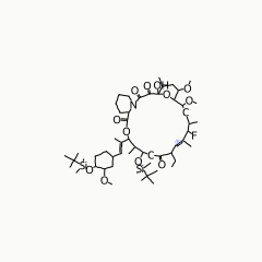 CCC1/C=C(\C)C(F)C(C)CC(OC)C2OC(O)(C(=O)C(=O)N3CCCCC3C(=O)OC(C(C)=CC3CCC(O[Si](C)(C)C(C)(C)C)C(OC)C3)C(C)C(O[Si](C)(C)C(C)(C)C)CC1=O)C(C)CC2OC